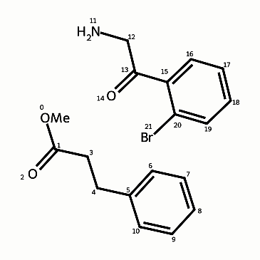 COC(=O)CCc1ccccc1.NCC(=O)c1ccccc1Br